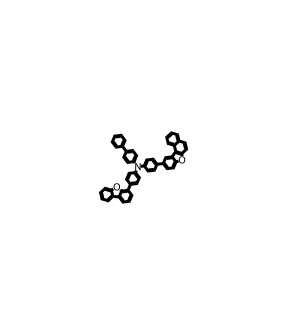 c1ccc(-c2ccc(N(c3ccc(-c4ccc5oc6ccc7ccccc7c6c5c4)cc3)c3ccc(-c4cccc5c4oc4ccccc45)cc3)cc2)cc1